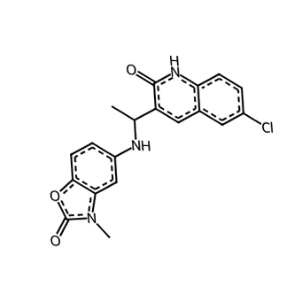 CC(Nc1ccc2oc(=O)n(C)c2c1)c1cc2cc(Cl)ccc2[nH]c1=O